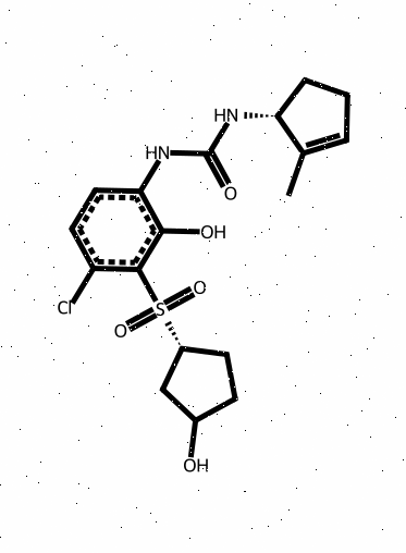 CC1=CCC[C@H]1NC(=O)Nc1ccc(Cl)c(S(=O)(=O)[C@@H]2CCC(O)C2)c1O